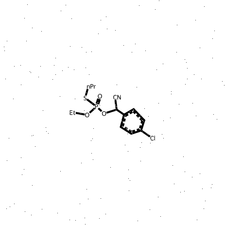 CCCSP(=O)(OCC)OC(C#N)c1ccc(Cl)cc1